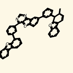 CC1C=Cc2c(oc3ccccc23)C1c1cccc(-c2ccc3oc4c(-c5cccc(-c6cccc7c6oc6ccccc67)c5)ncnc4c3c2)c1